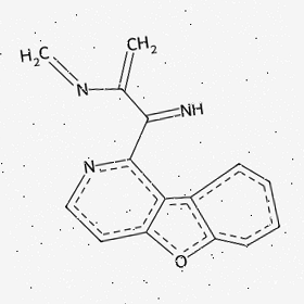 C=NC(=C)C(=N)c1nccc2oc3ccccc3c12